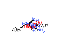 CCCCCCCCCCCCCCCC(=O)NC(CCCCN)C(=O)NC(C(=O)NC(CCCCN)C(=O)NC(CO)C(=O)O)C(C)O